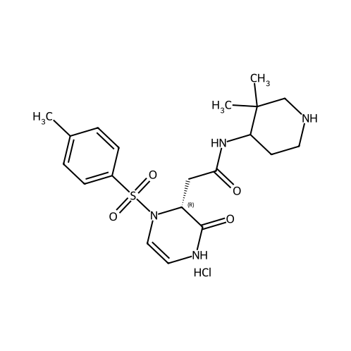 Cc1ccc(S(=O)(=O)N2C=CNC(=O)[C@H]2CC(=O)NC2CCNCC2(C)C)cc1.Cl